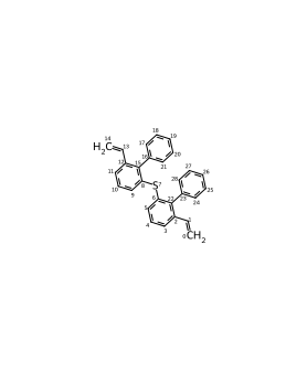 C=Cc1cccc(Sc2cccc(C=C)c2-c2ccccc2)c1-c1ccccc1